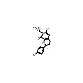 CCOC(=O)Cn1c(Br)nc2c(c1=O)N[C@](C)(c1ccc(Cl)cc1)CC2